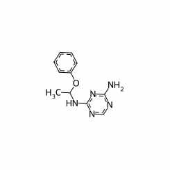 CC(Nc1ncnc(N)n1)Oc1ccccc1